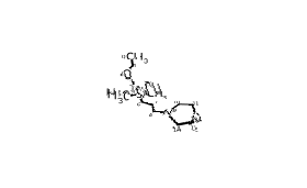 CCO[Si](C)(C)CCCN1CCOCC1